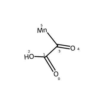 O=C(O)[C](=O)[Mn]